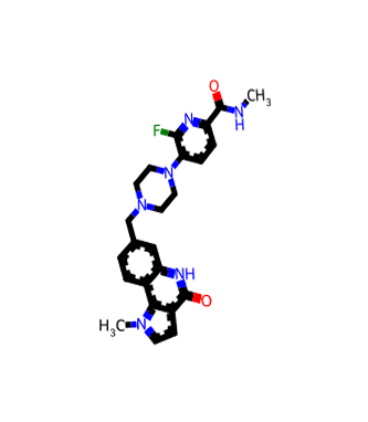 CNC(=O)c1ccc(N2CCN(Cc3ccc4c(c3)[nH]c(=O)c3ccn(C)c34)CC2)c(F)n1